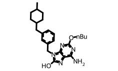 CCCCOc1nc(N)c2nc(O)n(Cc3cccc(CC4CCC(C)CC4)c3)c2n1